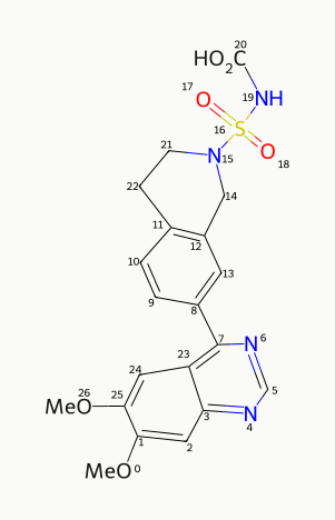 COc1cc2ncnc(-c3ccc4c(c3)CN(S(=O)(=O)NC(=O)O)CC4)c2cc1OC